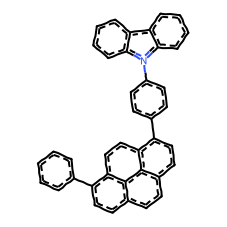 c1ccc(-c2ccc3ccc4ccc(-c5ccc(-n6c7ccccc7c7ccccc76)cc5)c5ccc2c3c45)cc1